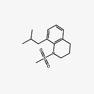 CC(C)Cc1cccc2c1N(S(C)(=O)=O)CCC2